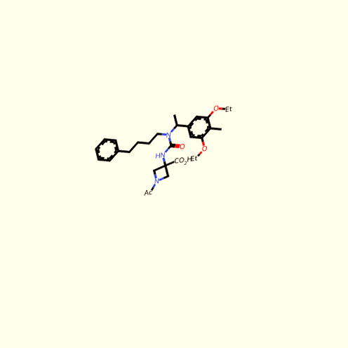 CCOc1cc(C(C)N(CCCCc2ccccc2)C(=O)NC2(C(=O)O)CN(C(C)=O)C2)cc(OCC)c1C